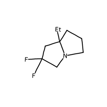 CCC12CCCN1CC(F)(F)C2